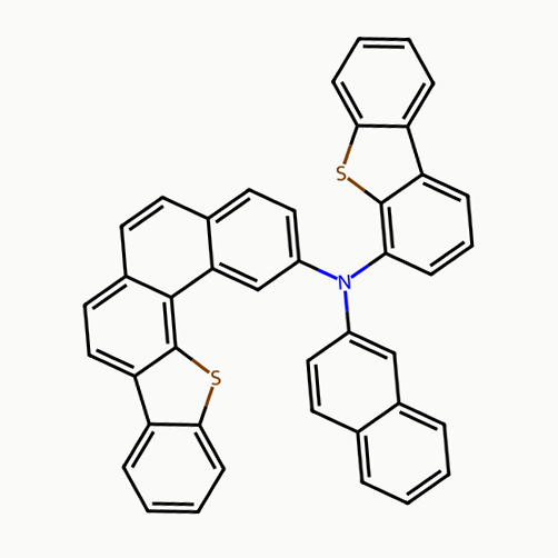 c1ccc2cc(N(c3ccc4ccc5ccc6c7ccccc7sc6c5c4c3)c3cccc4c3sc3ccccc34)ccc2c1